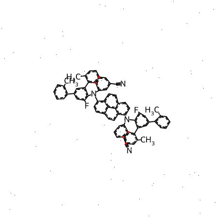 Cc1ccccc1-c1cc(F)c(N(c2cccc(C#N)c2)c2ccc3ccc4c(N(c5cccc(C#N)c5)c5c(F)cc(-c6ccccc6C)cc5-c5ccccc5C)ccc5ccc2c3c54)c(-c2ccccc2C)c1